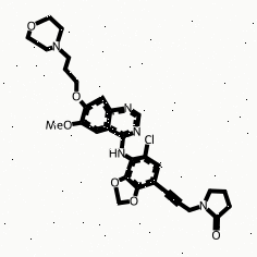 COc1cc2c(Nc3c(Cl)cc(C#CCN4CCCC4=O)c4c3OCO4)ncnc2cc1OCCCN1CCOCC1